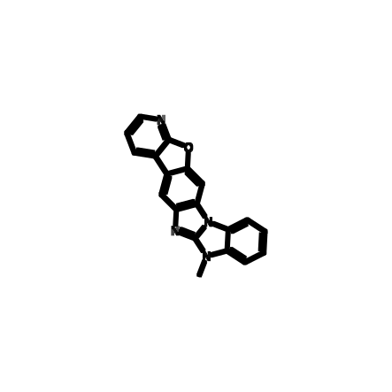 Cn1c2ccccc2n2c3cc4oc5ncccc5c4cc3nc12